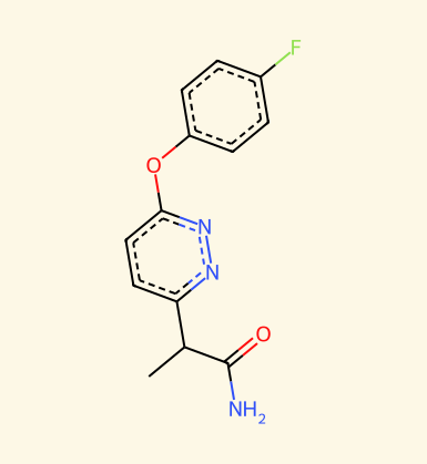 CC(C(N)=O)c1ccc(Oc2ccc(F)cc2)nn1